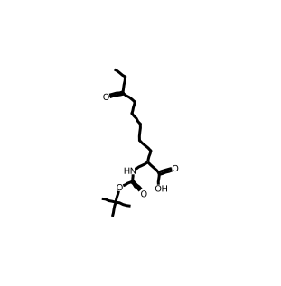 CCC(=O)CCCCCC(NC(=O)OC(C)(C)C)C(=O)O